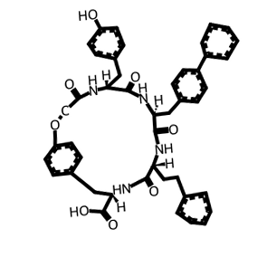 O=C1COc2ccc(cc2)C[C@@H](C(=O)O)NC(=O)[C@@H](CCc2ccccc2)NC(=O)[C@H](Cc2ccc(-c3ccccc3)cc2)NC(=O)[C@@H](Cc2ccc(O)cc2)N1